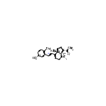 CC(=O)[C@H]1CC[C@H]2C(/C=C/C3=C(C)CC[C@H](O)C3)=CCC[C@]12C